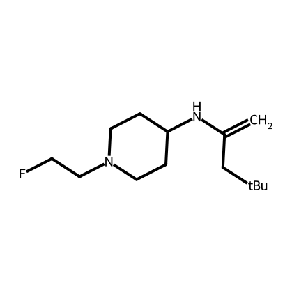 C=C(CC(C)(C)C)NC1CCN(CCF)CC1